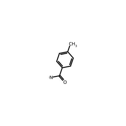 Cc1ccc(C([N])=O)cc1